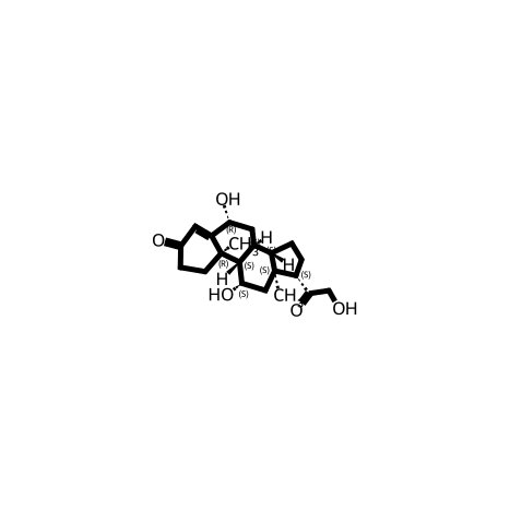 C[C@]12C[C@H](O)[C@H]3[C@@H](C[C@@H](O)C4=CC(=O)CC[C@@]43C)[C@@H]1CC[C@@H]2C(=O)CO